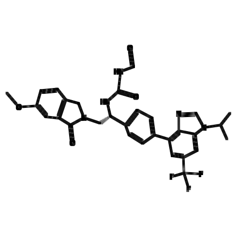 COc1ccc2c(c1)C(=O)N(C[C@H](NC(=O)NC=O)c1ccc(-c3cc(C(F)(F)F)cc4c3ncn4C(C)C)cc1)C2